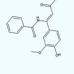 COc1cc(C(=CC(=O)O)NC(=O)c2ccccc2)ccc1O